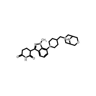 Cn1nc(C2CCC(=O)NC2=O)c2cccc(N3CCC(CN4CC5COCC(C4)N5)CC3)c21